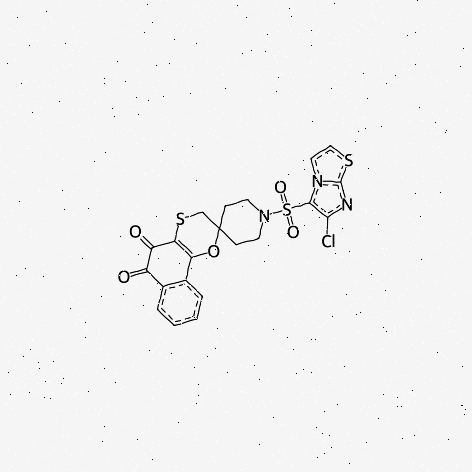 O=C1C(=O)c2ccccc2C2=C1SCC1(CCN(S(=O)(=O)c3c(Cl)nc4sccn34)CC1)O2